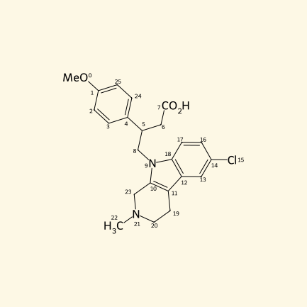 COc1ccc(C(CC(=O)O)Cn2c3c(c4cc(Cl)ccc42)CCN(C)C3)cc1